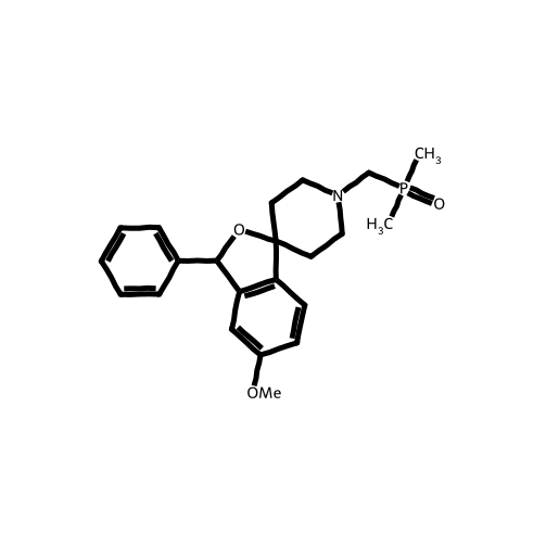 COc1ccc2c(c1)C(c1ccccc1)OC21CCN(CP(C)(C)=O)CC1